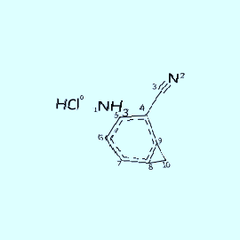 Cl.N.N#Cc1cccc2c1C2